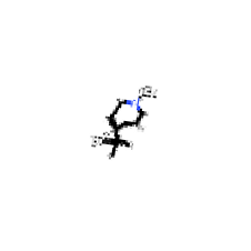 CCC(C)(C)C1CCN(C(C)(C)C)CC1